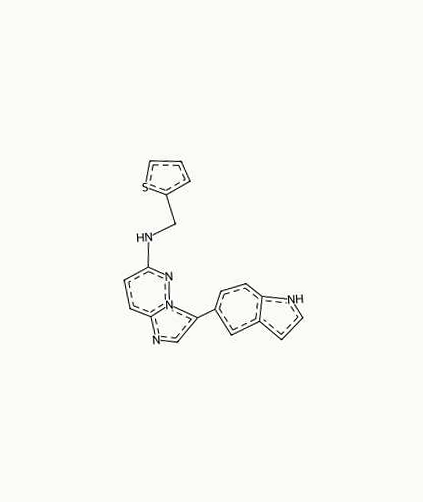 c1csc(CNc2ccc3ncc(-c4ccc5[nH]ccc5c4)n3n2)c1